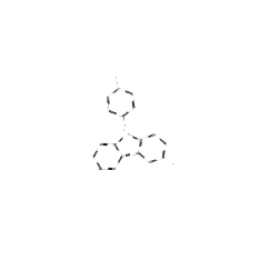 Bc1ccc2c(c1)c1cc(Br)ccc1n2-c1ccc(C)cc1